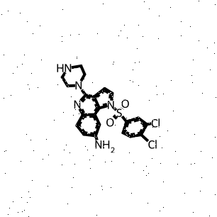 Nc1ccc2nc(N3CCNCC3)c3ccn(S(=O)(=O)c4ccc(Cl)c(Cl)c4)c3c2c1